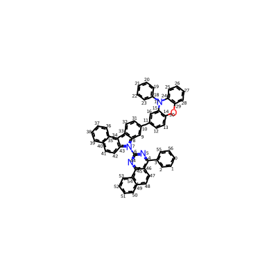 c1ccc(-c2nc(-n3c4cc(-c5ccc6c(c5)N(c5ccccc5)c5ccccc5O6)ccc4c4c5ccccc5ccc43)nc3c2ccc2ccccc23)cc1